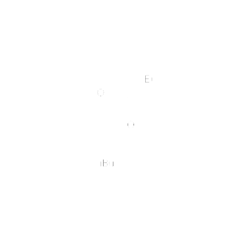 CCC1OCC(C(C)CC)O1